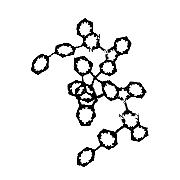 c1ccc(-c2ccc(-c3nc(-n4c5ccccc5c5ccc(C6(c7cc8c9ccccc9n(-c9nc(-c%10ccc(-c%11ccccc%11)cc%10)c%10ccccc%10n9)c8cc7C7c8ccccc8-c8ccccc87)c7ccccc7-c7ccccc76)cc54)nc4ccccc34)cc2)cc1